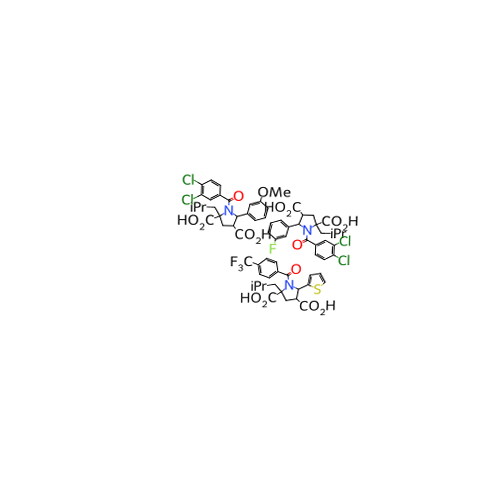 CC(C)CC1(C(=O)O)CC(C(=O)O)C(c2cccc(F)c2)N1C(=O)c1ccc(Cl)c(Cl)c1.CC(C)CC1(C(=O)O)CC(C(=O)O)C(c2cccs2)N1C(=O)c1ccc(C(F)(F)F)cc1.COc1cccc(C2C(C(=O)O)CC(CC(C)C)(C(=O)O)N2C(=O)c2ccc(Cl)c(Cl)c2)c1